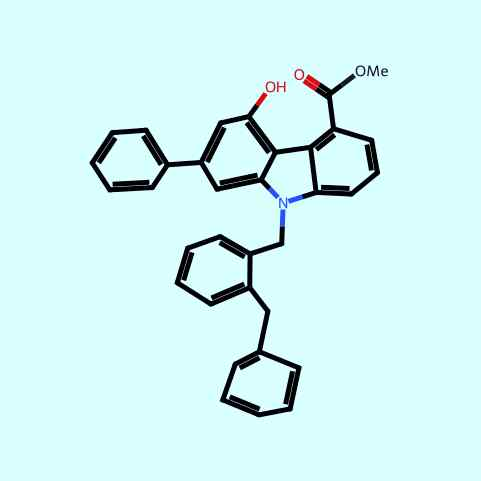 COC(=O)c1cccc2c1c1c(O)cc(-c3ccccc3)cc1n2Cc1ccccc1Cc1ccccc1